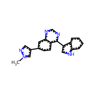 Cn1cc(-c2ccc3c(-c4c[nH]c5ccccc45)ncnc3c2)cn1